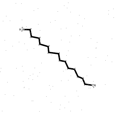 N#CCCCCCCCCCCCCCCN